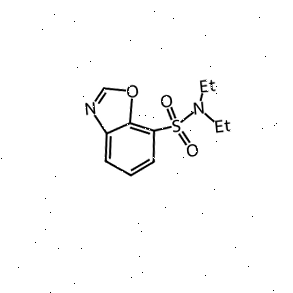 CCN(CC)S(=O)(=O)c1cccc2ncoc12